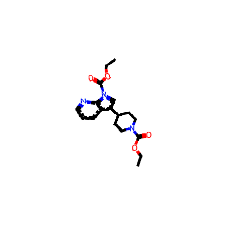 CCOC(=O)N1CCC(c2cn(C(=O)OCC)c3ncccc23)CC1